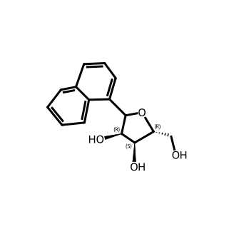 OC[C@H]1OC(c2cccc3ccccc23)[C@H](O)[C@@H]1O